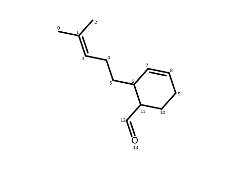 CC(C)=CCCC1C=CCCC1C=O